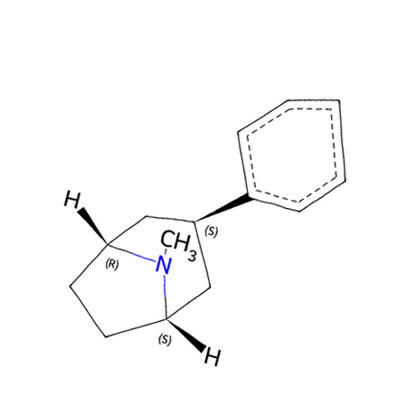 CN1[C@@H]2CC[C@H]1C[C@H](c1ccccc1)C2